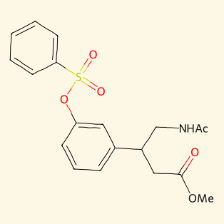 COC(=O)CC(CNC(C)=O)c1cccc(OS(=O)(=O)c2ccccc2)c1